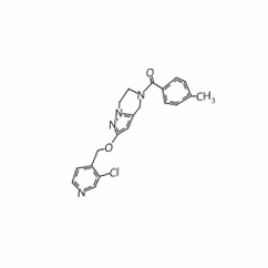 Cc1ccc(C(=O)N2CCn3nc(OCc4ccncc4Cl)cc3C2)cc1